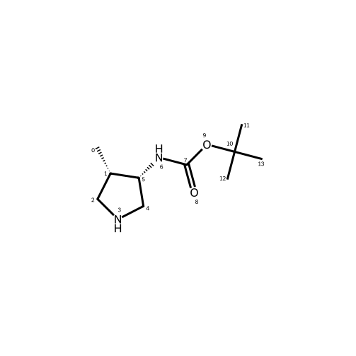 C[C@H]1CNC[C@H]1NC(=O)OC(C)(C)C